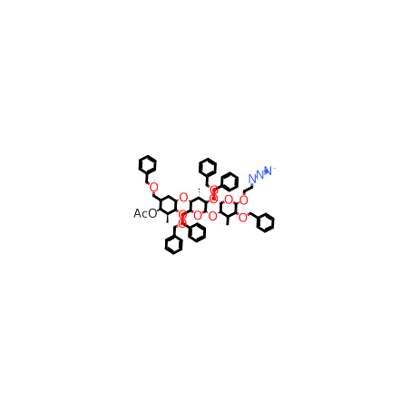 CC(=O)O[C@H]1C(COCc2ccccc2)C[C@H](O[C@H]2C(COCc3ccccc3)O[C@@H](O[C@H]3C(C)C(OCc4ccccc4)[C@H](OCCN=[N+]=[N-])O[C@H]3COCc3ccccc3)C(OCc3ccccc3)[C@H]2C)C(OCc2ccccc2)[C@H]1C